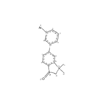 CC(=O)c1cccc(-c2ccc3c(c2)C(C)(C)CC3=O)c1